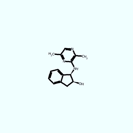 Cc1cnc(C)c(N[C@@H]2c3ccccc3C[C@@H]2O)n1